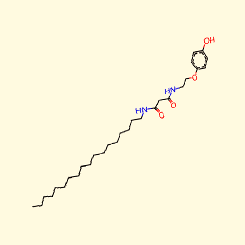 CCCCCCCCCCCCCCCCCCNC(=O)CC(=O)NCCOc1ccc(O)cc1